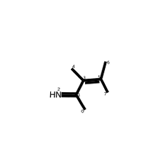 CC(=N)C(C)=C(C)C